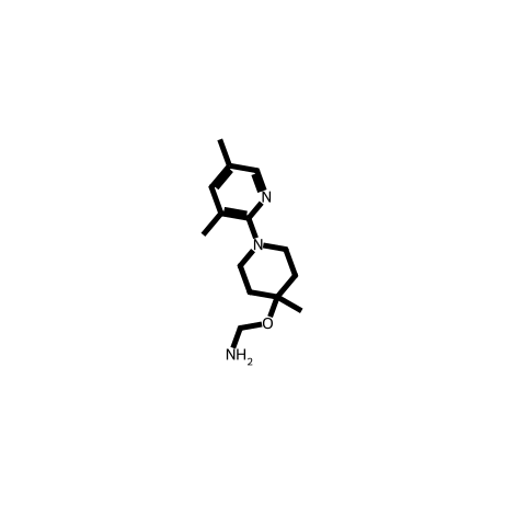 Cc1cnc(N2CCC(C)(OCN)CC2)c(C)c1